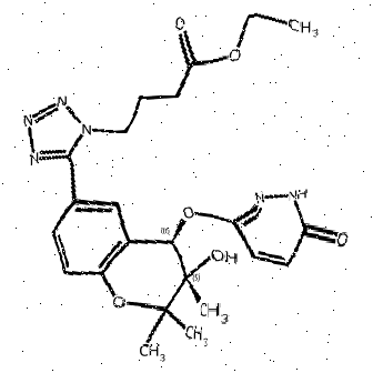 CCOC(=O)CCCn1nnnc1-c1ccc2c(c1)[C@@H](Oc1ccc(=O)[nH]n1)[C@](C)(O)C(C)(C)O2